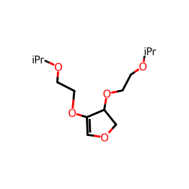 CC(C)OCCOC1=COCC1OCCOC(C)C